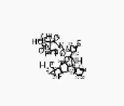 CCC1(F)C(=O)N(CC(=O)N2CC(F)CC2C(=O)NC(c2ccccc2)c2ccc(C3(C)CC3)c(F)c2)C(F)C(F)N1C(=O)O